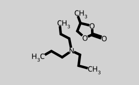 CC1COC(=O)O1.CCCN(CCC)CCC